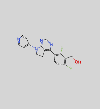 OCc1c(F)ccc(-c2ncnc3c2CCN3c2ccncc2)c1F